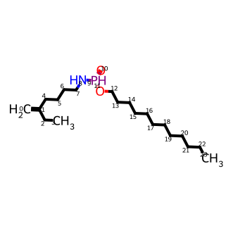 C=C(CC)CCCCN[PH](=O)OCCCCCCCCCCCC